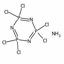 ClP1(Cl)=NP(Cl)(Cl)=NP(Cl)(Cl)=N1.N